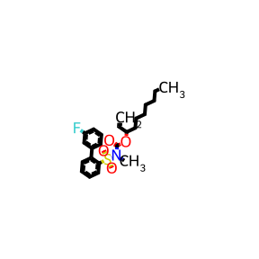 C=CC(CCCCCCC)OC(=O)N(C)S(=O)(=O)c1ccccc1-c1cccc(F)c1